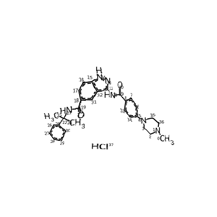 CN1CCN(c2ccc(C(=O)Nc3n[nH]c4ccc(C(=O)NC(C)(C)c5ccccc5)cc34)cc2)CC1.Cl